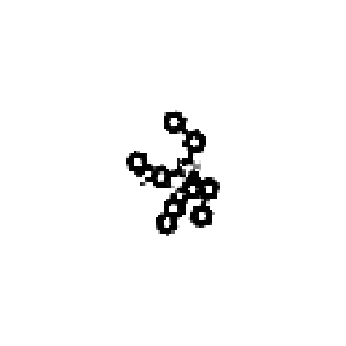 c1ccc(-c2cccc(-c3nc(-c4cccc(-c5ccccc5)c4)nc(-c4cc5c(cc4-n4c6ccccc6c6cc7ccccc7cc64)oc4ccccc45)n3)c2)cc1